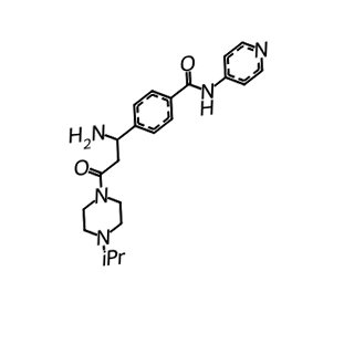 CC(C)N1CCN(C(=O)CC(N)c2ccc(C(=O)Nc3ccncc3)cc2)CC1